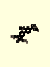 Cc1nc(C(C)C)ccc1-c1ccc2c(c1)n(C)c(=O)n2C